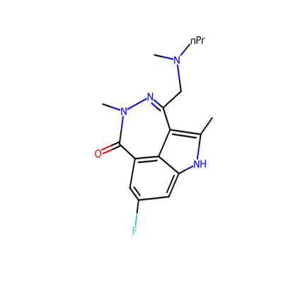 CCCN(C)CC1=NN(C)C(=O)c2cc(F)cc3[nH]c(C)c1c23